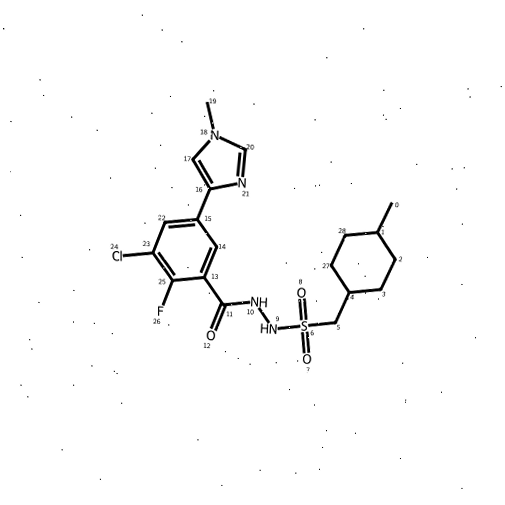 CC1CCC(CS(=O)(=O)NNC(=O)c2cc(-c3cn(C)cn3)cc(Cl)c2F)CC1